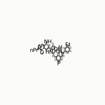 CCCN(CCC)C(=O)c1cc(N)cc(C(=O)NC(Cc2cc(F)cc(F)c2)C(O)CNCc2cccc(CC)c2)c1